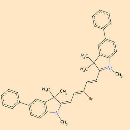 CN1/C(=C/C=C(Br)/C=C/C2=[N+](C)c3ccc(-c4ccccc4)cc3C2(C)C)C(C)(C)c2cc(-c3ccccc3)ccc21